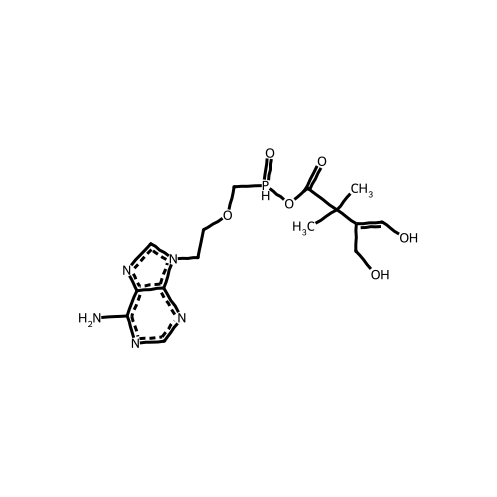 CC(C)(C(=O)O[PH](=O)COCCn1cnc2c(N)ncnc21)C(=CO)CO